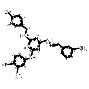 Bc1cccc(/C=N/Nc2nc(NCc3ccc(Cl)nc3)nc(Nc3ccc(F)c(C(F)(F)F)c3)n2)c1